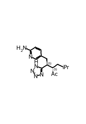 CC(=O)[C@@H](CC(C)C)[C@H](Cc1ccc(N)nc1)c1nnn[nH]1